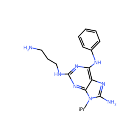 CC(C)n1c(N)nc2c(Nc3ccccc3)nc(NCCCN)nc21